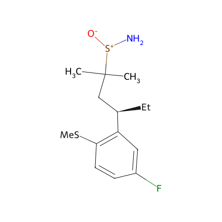 CC[C@H](CC(C)(C)[S+](N)[O-])c1cc(F)ccc1SC